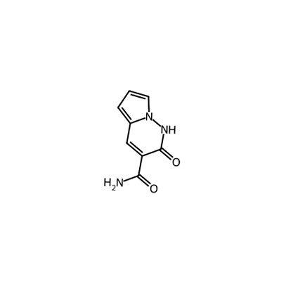 NC(=O)c1cc2cccn2[nH]c1=O